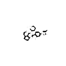 Cc1cn(-c2ccc(C(=O)N(c3nccc4cccc(Cl)c34)[C@@H]3CCCNC3)c(F)c2)nn1